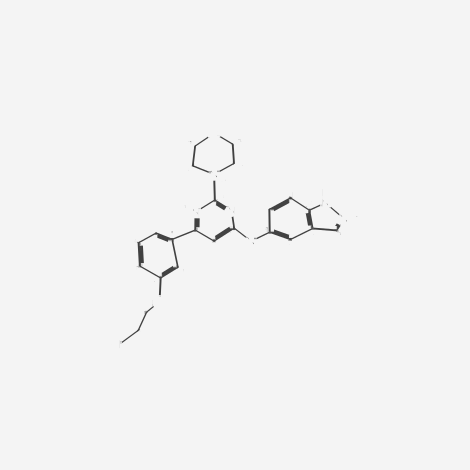 ClCCOc1cccc(-c2cc(Nc3ccc4[nH]ncc4c3)nc(N3CCOCC3)n2)c1